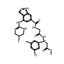 COC(=O)C[C@H](NC(=O)CNC(=O)c1cc(NC2=NCC(F)CN2)c2cn[nH]c2c1)c1cc(C)cc(Cl)c1